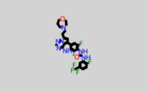 Nc1ncnn2c(CCN3CCCOCC3)cc(-c3ccc(NC(=O)Nc4cc(C(F)(F)F)ccc4F)c(F)c3)c12